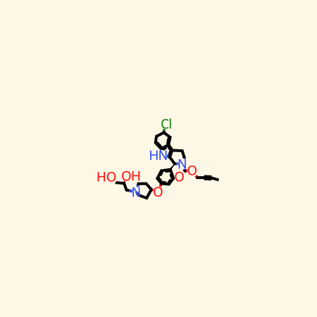 CC#CCOC(=O)N1CCc2c([nH]c3c2=CC(Cl)CC=3)[C@@H]1c1ccc(OC2CCN(C[C@H](O)CO)CC2)cc1